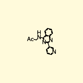 CC(=O)CNc1nc(-c2cccnc2)nc2ccccc12